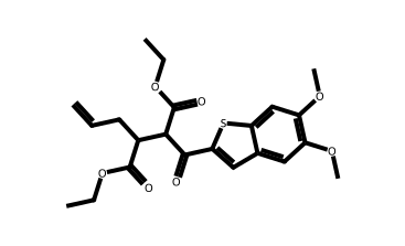 C=CCC(C(=O)OCC)C(C(=O)OCC)C(=O)c1cc2cc(OC)c(OC)cc2s1